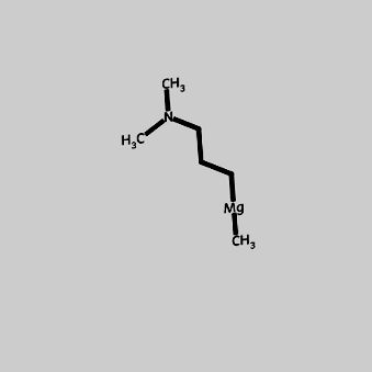 [CH3][Mg][CH2]CCN(C)C